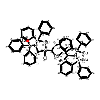 CCCC(N([Si](c1ccccc1)(c1ccccc1)C(C)(C)C)[Si](c1ccccc1)(c1ccccc1)C(C)(C)C)[Si](Cl)(Cl)C(CC)SC(CC)[Si](Cl)(Cl)C(CCC)N([Si](c1ccccc1)(c1ccccc1)C(C)(C)C)[Si](c1ccccc1)(c1ccccc1)C(C)(C)C